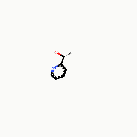 C[C@@H]([O])c1ccccn1